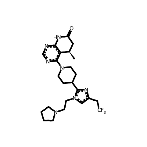 C[C@@H]1CC(=O)Nc2ncnc(N3CCC(c4nc(CC(F)(F)F)cn4CCN4CCCC4)CC3)c21